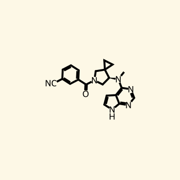 CN(c1ncnc2[nH]ccc12)[C@H]1CN(C(=O)c2cccc(C#N)c2)CC12CC2